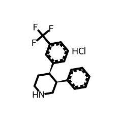 Cl.FC(F)(F)c1cccc([C@@H]2CCNC[C@@H]2c2ccccc2)c1